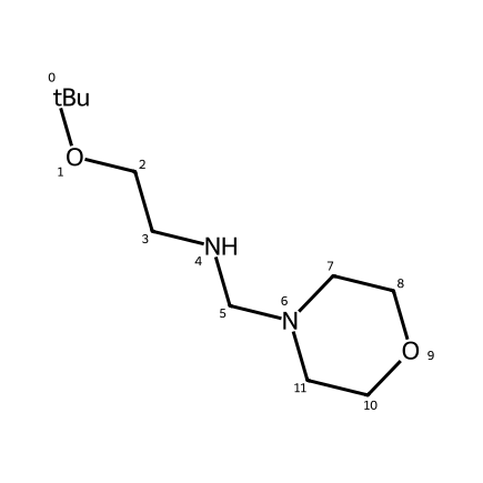 CC(C)(C)OCCNCN1CCOCC1